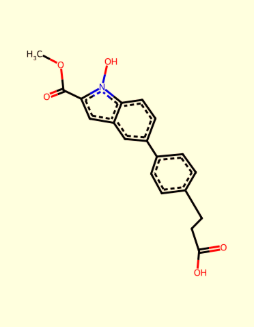 COC(=O)c1cc2cc(-c3ccc(CCC(=O)O)cc3)ccc2n1O